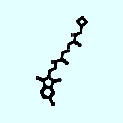 O=C(CSCC(=O)NCC1CCC1)NCCN1C(=O)c2ccc(Cl)cc2C1=O